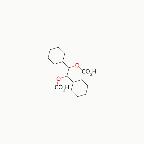 O=C(O)OC(C1CCCCC1)C(OC(=O)O)C1CCCCC1